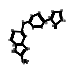 [CH2]c1nc2cc(Oc3ccc(-c4ccn[nH]4)cc3)ccc2[nH]1